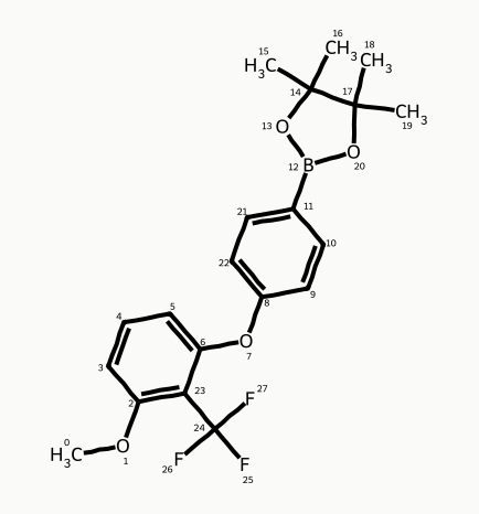 COc1cccc(Oc2ccc(B3OC(C)(C)C(C)(C)O3)cc2)c1C(F)(F)F